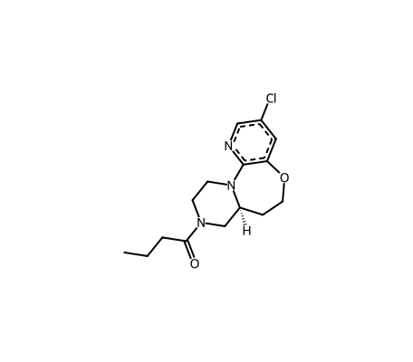 CCCC(=O)N1CCN2c3ncc(Cl)cc3OCC[C@H]2C1